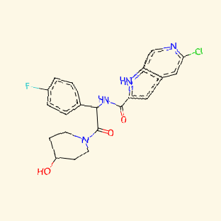 O=C(NC(C(=O)N1CCC(O)CC1)c1ccc(F)cc1)c1cc2cc(Cl)ncc2[nH]1